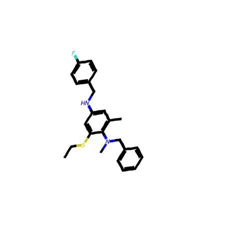 CCSc1cc(NCc2ccc(F)cc2)cc(C)c1N(C)Cc1ccccc1